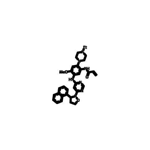 C=CC(=O)Nc1cc(Nc2cc(N3OCCC3c3cccc4ccccc34)ncn2)c(OC)cc1N1CCN(CC)CC1